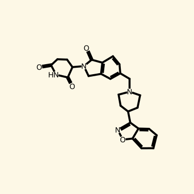 O=C1CCC(N2Cc3cc(CN4CCC(c5noc6ccccc56)CC4)ccc3C2=O)C(=O)N1